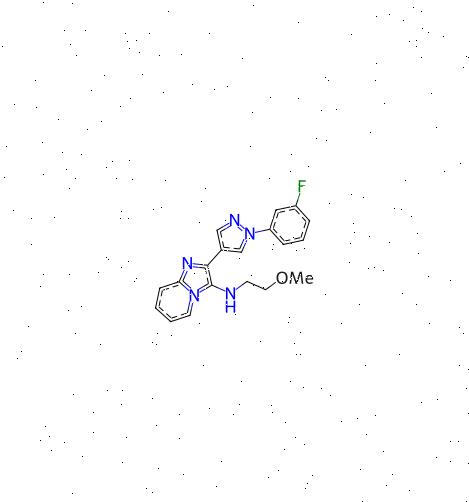 COCCNc1c(-c2cnn(-c3cccc(F)c3)c2)nc2ccccn12